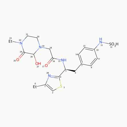 CCc1csc([C@H](Cc2ccc(NS(=O)(=O)O)cc2)NC(=O)CN2CCN(CC)C(=O)C2O)n1